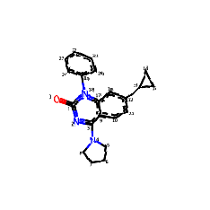 O=c1nc(N2CCCC2)c2ccc(C3CC3)cc2n1-c1ccccc1